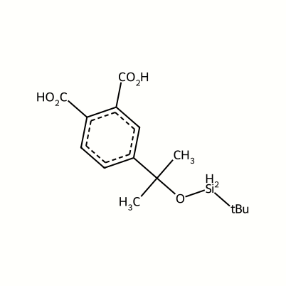 CC(C)(C)[SiH2]OC(C)(C)c1ccc(C(=O)O)c(C(=O)O)c1